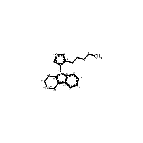 CCCCCc1cscc1-n1c2c(c3ccccc31)CNCC2